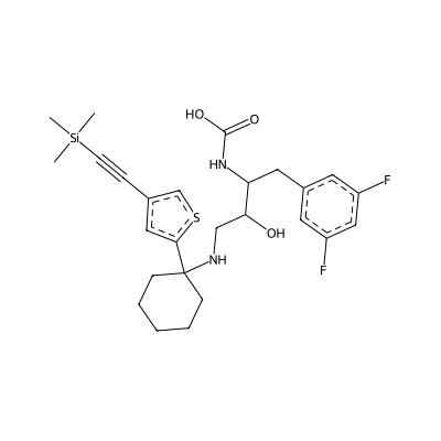 C[Si](C)(C)C#Cc1csc(C2(NCC(O)C(Cc3cc(F)cc(F)c3)NC(=O)O)CCCCC2)c1